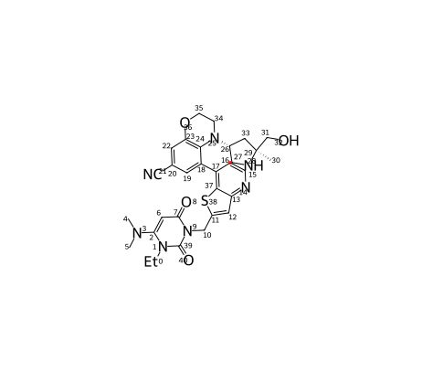 CCn1c(N(C)C)cc(=O)n(Cc2cc3nccc(-c4cc(C#N)cc5c4N([C@H]4CN[C@](C)(CO)C4)CCO5)c3s2)c1=O